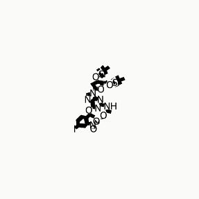 CC(=O)Nc1nc(OC(C)c2ccc(I)cc2[N+](=O)[O-])c2ncn([C@H]3CC(O[Si](C)(C)C(C)(C)C)[C@@H](CO[Si](C)(C)C(C)(C)C)O3)c2n1